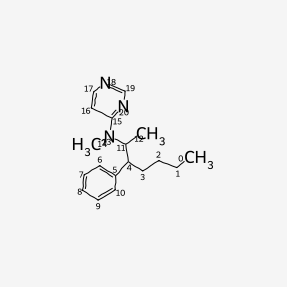 CCCCC(c1ccccc1)C(C)N(C)c1ccncn1